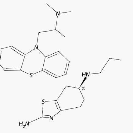 CC(CN1c2ccccc2Sc2ccccc21)N(C)C.CCCN[C@H]1CCc2nc(N)sc2C1